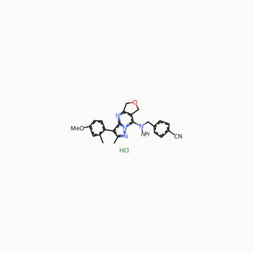 CCCN(Cc1ccc(C#N)cc1)c1c2c(nc3c(-c4ccc(OC)cc4C)c(C)nn13)COC2.Cl